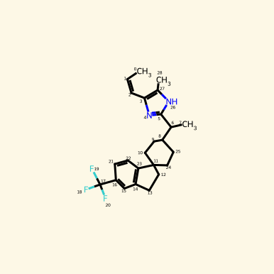 C/C=C\c1nc(C(C)C2CCC3(CCc4cc(C(F)(F)F)ccc43)CC2)[nH]c1C